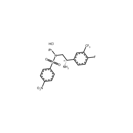 CC(C)N(C[C@@H](N)c1ccc(F)c(C(F)(F)F)c1)S(=O)(=O)c1ccc([N+](=O)[O-])cc1.Cl